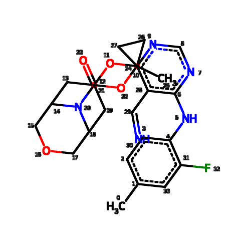 Cc1ccc(Nc2ncnc(OC3CC4COCC(C3)N4C(=O)OC3(C)CC3)c2C=N)c(F)c1